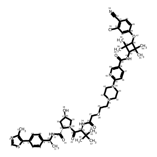 Cc1ncsc1-c1ccc([C@H](C)NC(=O)[C@@H]2C[C@@H](O)CN2C(=O)[C@@H](NC(=O)COCCN2CCN(c3ccc(C(=O)NC4C(C)(C)C(Oc5ccc(C#N)c(Cl)c5)C4(C)C)cn3)CC2)C(C)(C)C)cc1